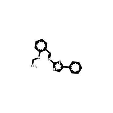 CCOc1ccccc1C=Nc1nc(-c2ccccc2)cs1